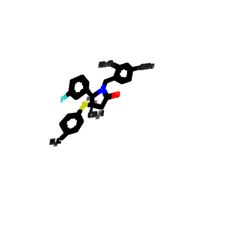 COc1ccc(CN2C(=O)C[C@](Sc3ccc(C)cc3)(C(=O)O)[C@H]2c2cccc(F)c2)c(OC)c1